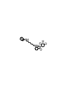 O=C1CCC(N2Cc3c(NCCCCCCCNC45CC6CC(CC4C6)C5)cccc3C2=O)C(=O)N1